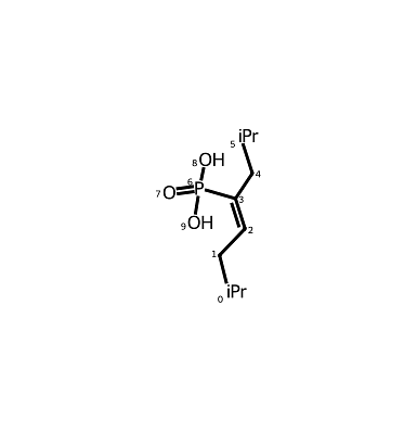 CC(C)CC=C(CC(C)C)P(=O)(O)O